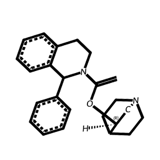 C=C(O[C@H]1CN2CCC1CC2)N1CCc2ccccc2C1c1ccccc1